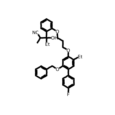 CCc1cc(-c2ccc(F)cc2)c(OCc2ccccc2)cc1OCCCOc1ccccc1C(O)(CC)C(C)C#N